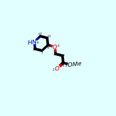 COC(=O)CCOC1CCNCC1